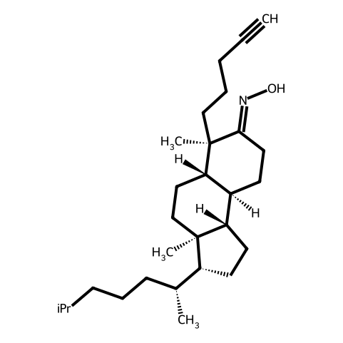 C#CCCC[C@@]1(C)C(=NO)CC[C@H]2[C@@H]3CC[C@H]([C@H](C)CCCC(C)C)[C@@]3(C)CC[C@@H]21